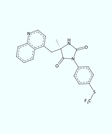 C[C@]1(Cc2ccnc3ccccc23)NC(=O)N(c2ccc(SC(F)(F)F)cc2)C1=O